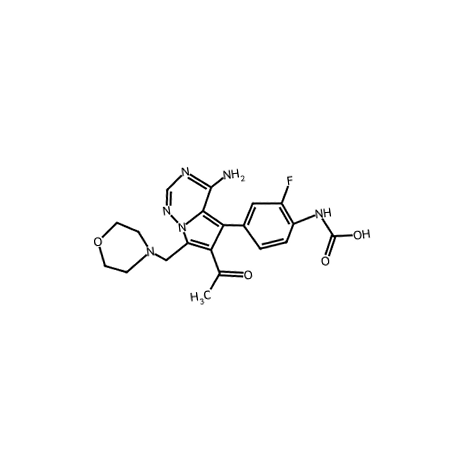 CC(=O)c1c(-c2ccc(NC(=O)O)c(F)c2)c2c(N)ncnn2c1CN1CCOCC1